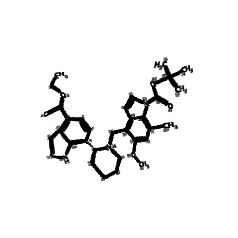 CCOC(=O)c1ccc([C@H]2CCCCN2Cc2c(OC)cc(C)c3c2ccn3C(=O)OC(C)(C)C)c2[nH]ncc12